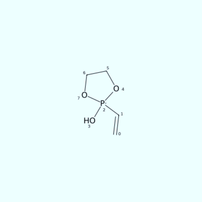 C=C[P]1(O)OCCO1